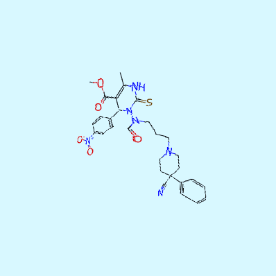 COC(=O)C1=C(C)NC(=S)N(N(C=O)CCCN2CCC(C#N)(c3ccccc3)CC2)C1c1ccc([N+](=O)[O-])cc1